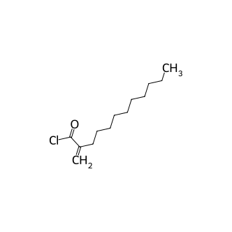 C=C(CCCCCCCCCC)C(=O)Cl